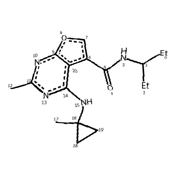 CCC(CC)NC(=O)c1coc2nc(C)nc(NC3(C)CC3)c12